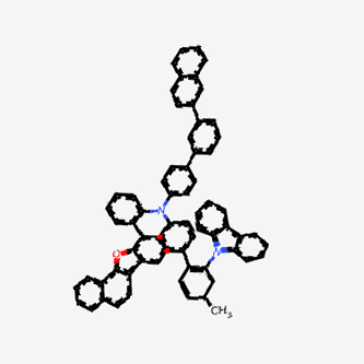 CC1C=CC(c2ccc(N(c3ccc(-c4cccc(-c5ccc6ccccc6c5)c4)cc3)c3ccccc3-c3cccc4c3oc3c5ccccc5ccc43)cc2)=C(n2c3ccccc3c3ccccc32)C1